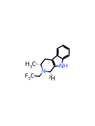 [2H][C@H]1c2[nH]c3ccccc3c2C[C@@H](C)N1CC(F)(F)F